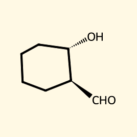 O=C[C@H]1CCCC[C@@H]1O